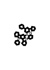 c1ccc(-c2cc3c4c(c2)c2ccccc2n4-c2cccc4c2B3c2cc3c5ccccc5n(-c5ccccc5)c3c3c5ccccc5n-4c23)cc1